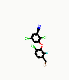 N#Cc1cc(Cl)cc(Oc2c(Cl)ccc(CBr)c2F)c1Cl